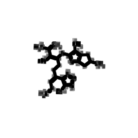 C=P/C=C(/CC/C(Sc1sc2c(c1C)CC(C)C2)=C(\CCC)C(=C)C)c1nonc1CC